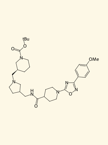 COc1ccc(-c2noc(N3CCC(C(=O)NCC4CCN(C[C@@H]5CCCN(C(=O)OC(C)(C)C)C5)C4)CC3)n2)cc1